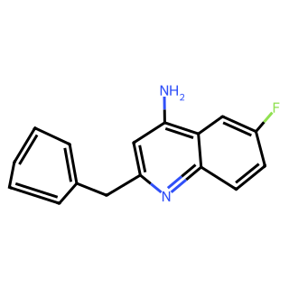 Nc1cc(Cc2ccccc2)nc2ccc(F)cc12